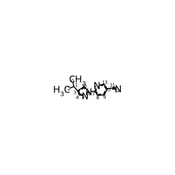 CC(C)c1cnn(-c2ccc(C#N)cn2)c1